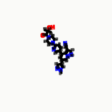 Cn1cc(-c2cc(-c3ccc(N4CCN(C(=O)C(C)(C)O)CC4)nc3)c3c(C#N)cnn3c2)cn1